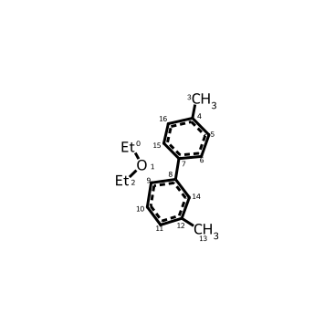 CCOCC.Cc1ccc(-c2cccc(C)c2)cc1